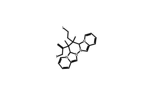 C=C(CI)C1(C)C2N3C=CC=CC3=CN2N2C=C3C=CC=CN3C2C1(C)CCI